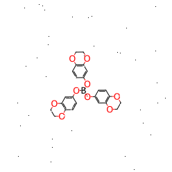 c1cc2c(cc1OB(Oc1ccc3c(c1)OCCO3)Oc1ccc3c(c1)OCCO3)OCCO2